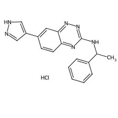 CC(Nc1nnc2cc(-c3cn[nH]c3)ccc2n1)c1ccccc1.Cl